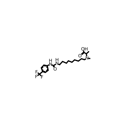 CC(C(=O)O)N(C)CCCCCCCCCNC(=O)Nc1ccc(C(F)(F)F)cc1